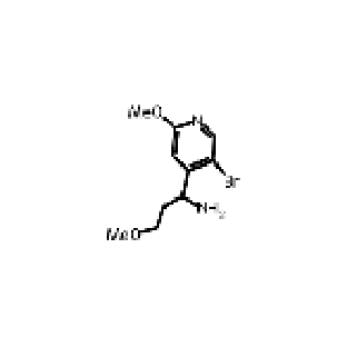 COCCC(N)c1cc(OC)ncc1Br